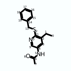 CCc1cc(NC(C)=O)cnc1SCc1ccccc1